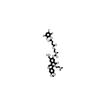 CN(C)CCn1c(=O)c2cc(OC(=O)N(C)CCOC(=O)CCC(=O)Oc3c(F)c(F)cc(F)c3F)c(CO)cc2c2cnc3cc4c(cc3c21)OCO4